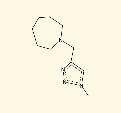 Cn1cc(CN2CCCCCC2)nn1